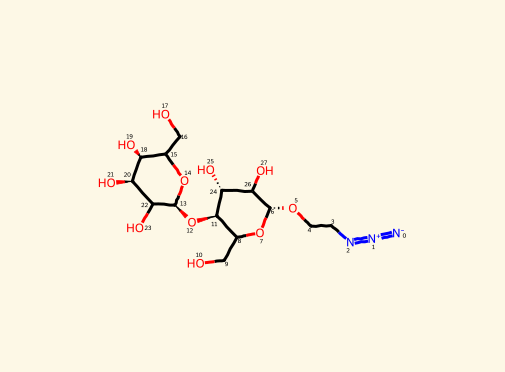 [N-]=[N+]=NCCO[C@@H]1OC(CO)[C@@H](O[C@@H]2OC(CO)[C@H](O)[C@H](O)C2O)[C@H](O)C1O